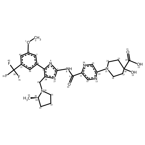 COc1cc(-c2nc(NC(=O)c3cnc(N4CCC(O)(C(=O)O)CC4)cn3)sc2CN2CCC[C@H]2C)cc(C(F)(F)F)c1